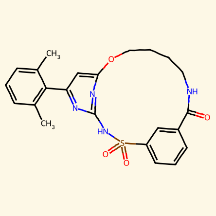 Cc1cccc(C)c1-c1cc2nc(n1)NS(=O)(=O)c1cccc(c1)C(=O)NCCCCO2